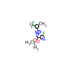 Cc1cc(-c2ncn(/C=C(/C(=O)OC(C)C)c3cncc(F)c3)n2)cc(C(F)(F)F)c1